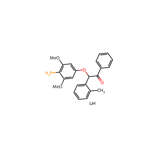 COc1cc(OC(C(=O)c2ccccc2)c2ccccc2C)cc(OC)c1P.[LiH]